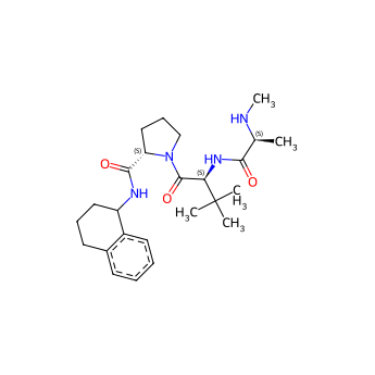 CN[C@@H](C)C(=O)N[C@H](C(=O)N1CCC[C@H]1C(=O)NC1CCCc2ccccc21)C(C)(C)C